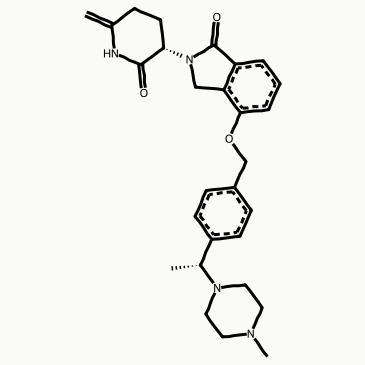 C=C1CC[C@H](N2Cc3c(OCc4ccc([C@@H](C)N5CCN(C)CC5)cc4)cccc3C2=O)C(=O)N1